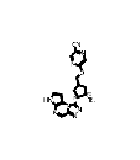 CC[C@H]1CC(COc2cnc(C#N)cn2)C[C@H]1c1nnc2cnc3[nH]ccc3n12